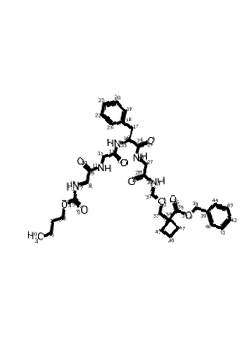 CCCCOC(=O)NCC(=O)NCC(=O)N[C@@H](Cc1ccccc1)C(=O)NCC(=O)NCOCC1(C(=O)OCc2ccccc2)CCC1